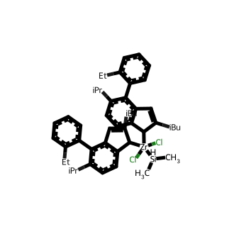 CCc1ccccc1-c1c(C(C)C)ccc2c1C=C(C(C)CC)[CH]2[Zr]([Cl])([Cl])([CH]1C(C(C)CC)=Cc2c1ccc(C(C)C)c2-c1ccccc1CC)[SiH](C)C